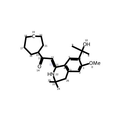 COc1cc2c(cc1C(C)(C)O)/C(=C/C(=O)C1CCCCCC1)NC(C)(C)C2